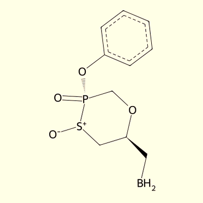 BC[C@H]1C[S+]([O-])[P@](=O)(Oc2ccccc2)CO1